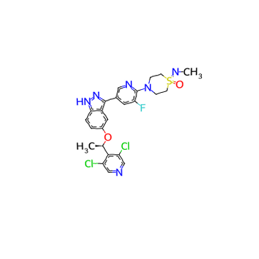 CN=S1(=O)CCN(c2ncc(-c3n[nH]c4ccc(O[C@H](C)c5c(Cl)cncc5Cl)cc34)cc2F)CC1